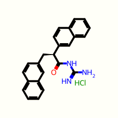 Cl.N=C(N)NC(=O)[C@@H](Cc1ccc2ccccc2c1)c1ccc2ccccc2c1